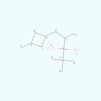 BC(B)(C(C)CC1CC(C)C1)C(C)(C)C